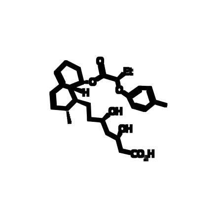 CC[C@@H](Oc1ccc(C)cc1)C(=O)O[C@H]1CCC=C2C=C[C@@H](C)[C@H](CC[C@@H](O)C[C@@H](O)CC(=O)O)[C@H]21